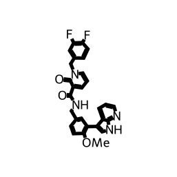 COc1ccc(CNC(=O)c2cccn(Cc3ccc(F)c(F)c3)c2=O)cc1-c1c[nH]c2ncccc12